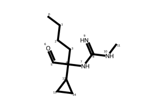 CCCCC(C=O)(NC(=N)NC)C1CC1